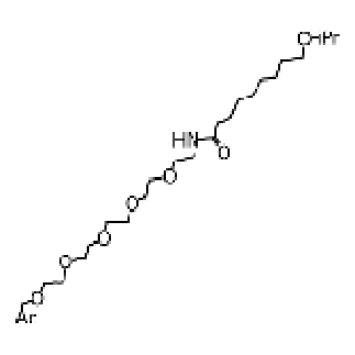 CC(=O)COCCOCCOCCOCCOCCNC(=O)CCCCCCCCOC(C)C